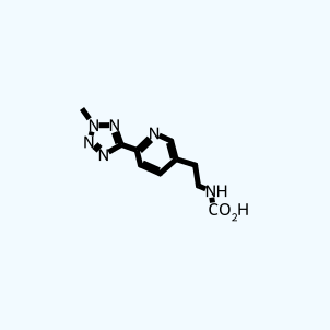 Cn1nnc(-c2ccc(CCNC(=O)O)cn2)n1